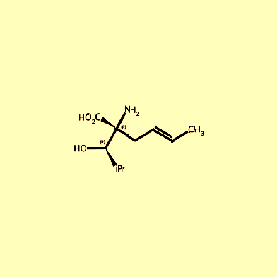 CC=CC[C@](N)(C(=O)O)[C@H](O)C(C)C